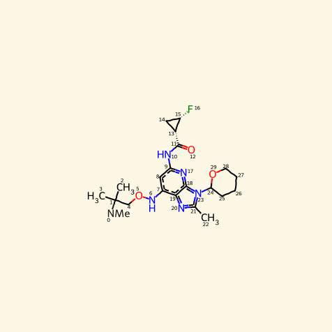 CNC(C)(C)CONc1cc(NC(=O)[C@@H]2C[C@@H]2F)nc2c1nc(C)n2C1CCCCO1